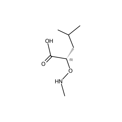 CNO[C@@H](CC(C)C)C(=O)O